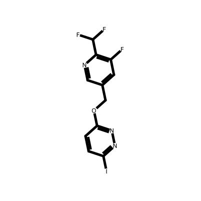 Fc1cc(COc2ccc(I)nn2)cnc1C(F)F